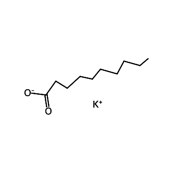 CCCCCCCCCC(=O)[O-].[K+]